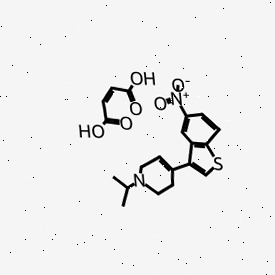 CC(C)N1CC=C(c2csc3ccc([N+](=O)[O-])cc23)CC1.O=C(O)/C=C\C(=O)O